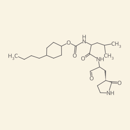 CCCCC1CCC(OC(=O)NC(CC(C)C)C(=O)NC(C=O)C[C@@H]2CCNC2=O)CC1